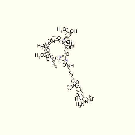 COC1CC(C)[C@@]2(O)OC1[C@H](OC)CC(C)C/C(C)=C\[C@H](C/C=C/C(=O)NCCSSCCOC(=O)N(c1ccc(Cn3c(=O)[nH]c4c(N)nc(C(F)(F)F)cc43)cn1)N1CCCCC1)C(=O)C[C@H](O)[C@@H](C)[C@@H](/C(C)=C/[C@@H]1CC[C@@H](O)C(OC)C1)OC(=O)C1CCCCN1C(=O)C2=O